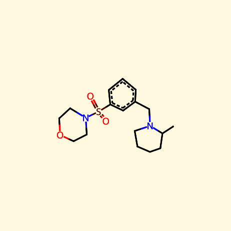 CC1CCCCN1Cc1cccc(S(=O)(=O)N2CCOCC2)c1